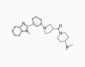 CN(C)C1CCN(C(=O)C2CCN(c3cccc(-c4nc5ccccc5n4C)c3)C2)CC1